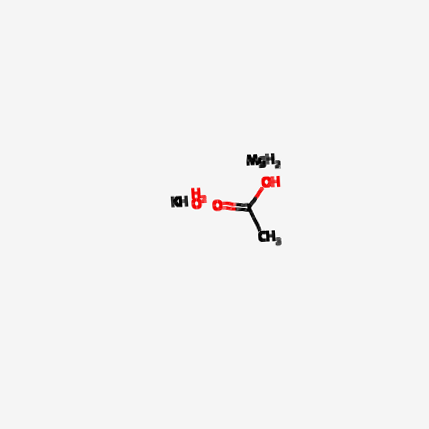 CC(=O)O.O.[KH].[MgH2]